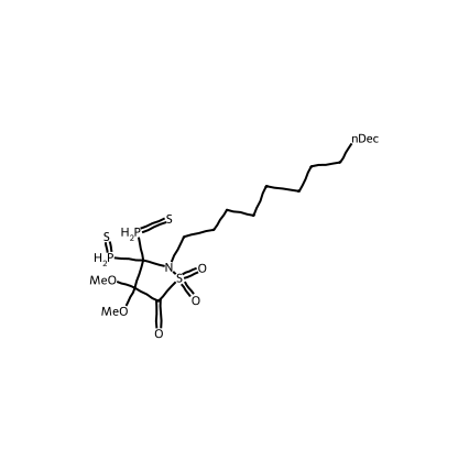 CCCCCCCCCCCCCCCCCCN1C([PH2]=S)([PH2]=S)C(OC)(OC)C(=O)S1(=O)=O